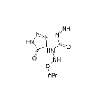 CCCONNC(=O)N=N.O=C1CN=NN1